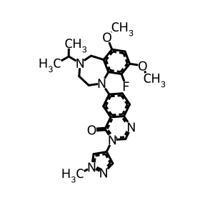 COc1cc(OC)c2c(c1F)N(c1ccc3ncn(-c4cnn(C)c4)c(=O)c3c1)CCN(C(C)C)C2